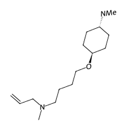 C=CCN(C)CCCCO[C@H]1CC[C@H](NC)CC1